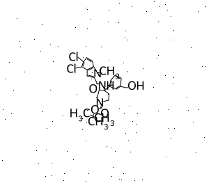 Cn1c(C(=O)NC2(c3cccc(CO)c3)CCN(C(=O)OC(C)(C)C)CC2)cc2c(Cl)c(Cl)ccc21